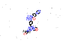 C[C@@H]1COCCN1c1nc(-c2ccc(NC(=O)Nc3ccc(N4CCN(C)CC4)cc3)cc2)nc(N2C[C@@H]3C[C@H]2CO3)n1